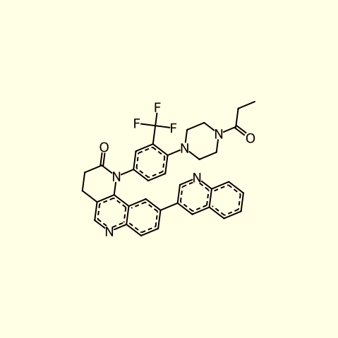 CCC(=O)N1CCN(c2ccc(N3C(=O)CCc4cnc5ccc(-c6cnc7ccccc7c6)cc5c43)cc2C(F)(F)F)CC1